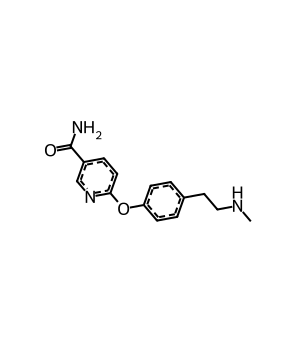 CNCCc1ccc(Oc2ccc(C(N)=O)cn2)cc1